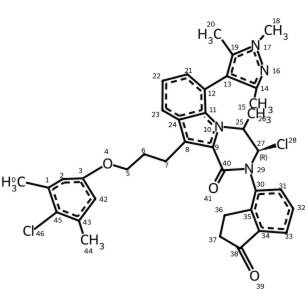 Cc1cc(OCCCc2c3n(c4c(-c5c(C)nn(C)c5C)cccc24)C(C)[C@@H](Cl)N(c2cccc4c2CCC4=O)C3=O)cc(C)c1Cl